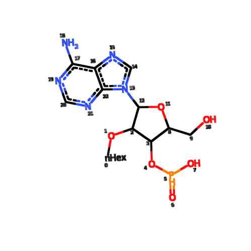 CCCCCCOC1C(O[PH](=O)O)C(CO)OC1n1cnc2c(N)ncnc21